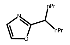 CCCC(CCC)c1ncco1